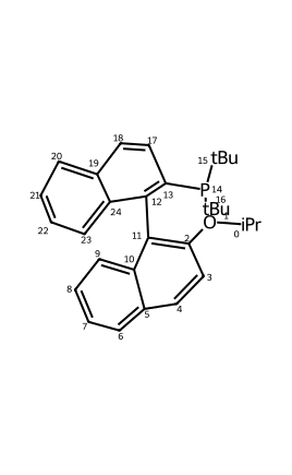 CC(C)Oc1ccc2ccccc2c1-c1c(P(C(C)(C)C)C(C)(C)C)ccc2ccccc12